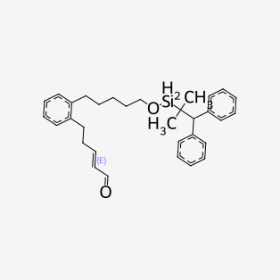 CC(C)([SiH2]OCCCCCc1ccccc1CC/C=C/C=O)C(c1ccccc1)c1ccccc1